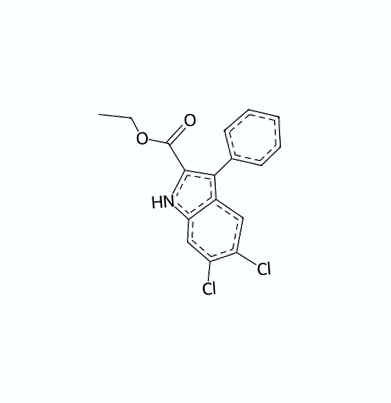 CCOC(=O)c1[nH]c2cc(Cl)c(Cl)cc2c1-c1ccccc1